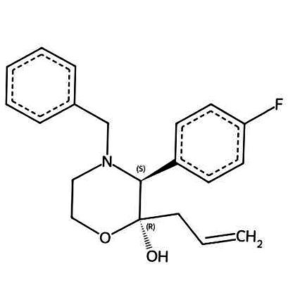 C=CC[C@@]1(O)OCCN(Cc2ccccc2)[C@H]1c1ccc(F)cc1